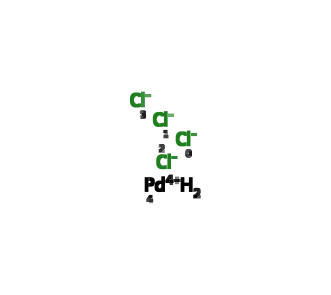 [Cl-].[Cl-].[Cl-].[Cl-].[PdH2+4]